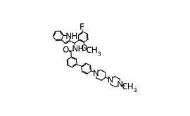 COc1ccc(F)cc1[C@@H](NC(=O)c1cccc(-c2ccc(N3CCC(N4CCN(C)CC4)CC3)cc2)c1)c1cc2ccccc2[nH]1